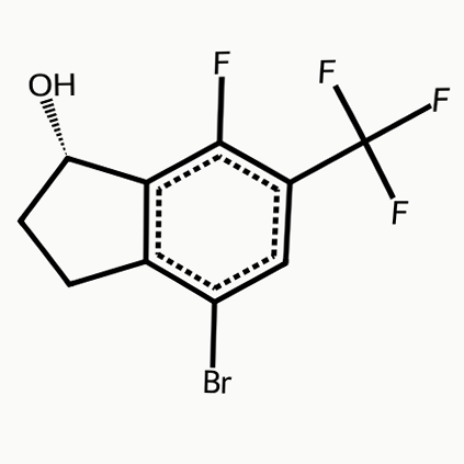 O[C@H]1CCc2c(Br)cc(C(F)(F)F)c(F)c21